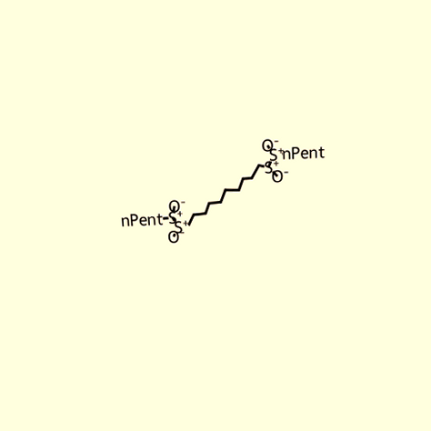 CCCCC[S+]([O-])[S+]([O-])CCCCCCCCCC[S+]([O-])[S+]([O-])CCCCC